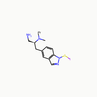 CC(C)N(C)[C@H](CN)Cc1ccc2c(cnn2SI)c1